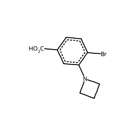 O=C(O)c1ccc(Br)c(N2CCC2)c1